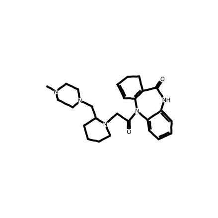 CN1CCN(CC2CCCCN2CC(=O)N2C3=C(CCC=C3)C(=O)Nc3ccccc32)CC1